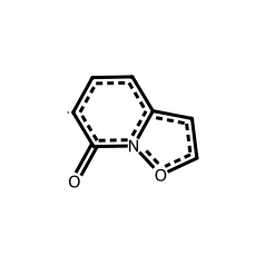 O=c1[c]ccc2ccon12